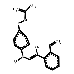 C=Cc1ccccc1/C(C#N)=C/N(C)c1ccc(SNC(=C)C)cc1